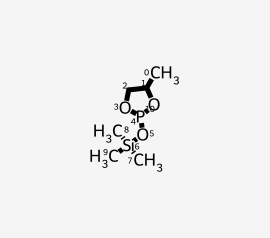 CC1COP(O[Si](C)(C)C)O1